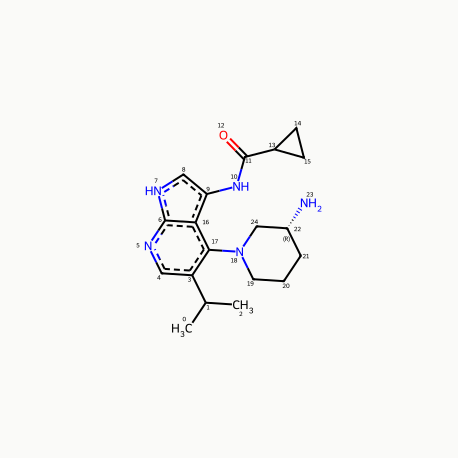 CC(C)c1cnc2[nH]cc(NC(=O)C3CC3)c2c1N1CCC[C@@H](N)C1